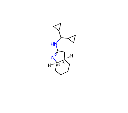 C1CC[C@H]2N=C(NC(C3CC3)C3CC3)C[C@H]2C1